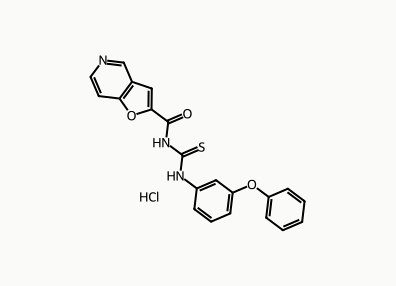 Cl.O=C(NC(=S)Nc1cccc(Oc2ccccc2)c1)c1cc2cnccc2o1